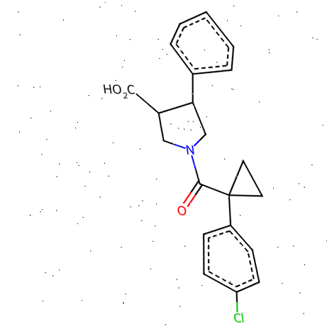 O=C(O)C1CN(C(=O)C2(c3ccc(Cl)cc3)CC2)CC1c1ccccc1